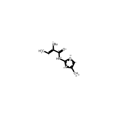 CC=C(CCCC)C(=O)Nc1nc(C)co1